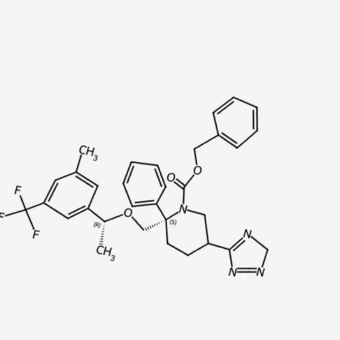 Cc1cc([C@@H](C)OC[C@@]2(c3ccccc3)CCC(C3=NCN=N3)CN2C(=O)OCc2ccccc2)cc(C(F)(F)F)c1